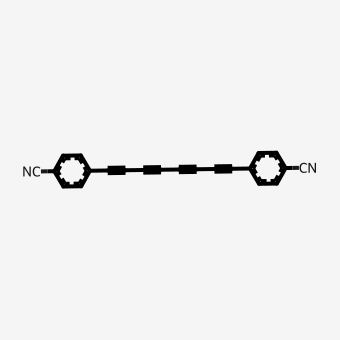 N#Cc1ccc(C#CC#CC#CC#Cc2ccc(C#N)cc2)cc1